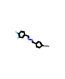 COc1ccc(/C=N/N=C/c2ccc(F)c(F)c2)cc1